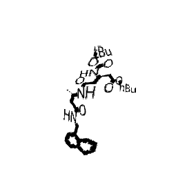 CCCCOC(=O)C[C@@H](CC(=O)N[C@@H](C)CC(=O)NCc1cccc2ccccc12)NC(=O)OC(C)(C)C